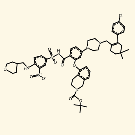 CC1(C)CCC(CN2CCN(c3ccc(C(=O)NS(=O)(=O)c4ccc(NCC5CCOCC5)c([N+](=O)[O-])c4)c(Oc4cccc5c4CCN(C(=O)OC(C)(C)C)C5)c3)CC2)=C(c2ccc(Cl)cc2)C1